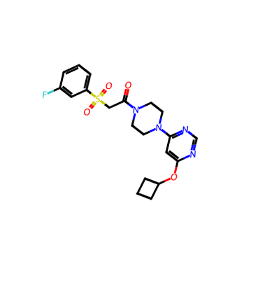 O=C(CS(=O)(=O)c1cccc(F)c1)N1CCN(c2cc(OC3CCC3)ncn2)CC1